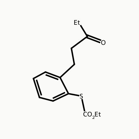 CCOC(=O)Sc1ccccc1CCC(=O)CC